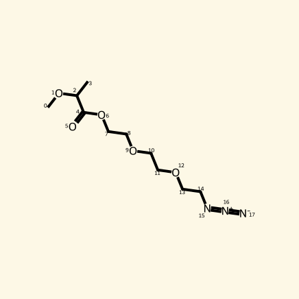 COC(C)C(=O)OCCOCCOCCN=[N+]=[N-]